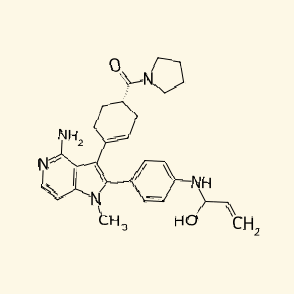 C=CC(O)Nc1ccc(-c2c(C3=CC[C@@H](C(=O)N4CCCC4)CC3)c3c(N)nccc3n2C)cc1